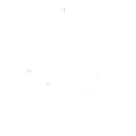 CNC(=O)C(c1ccc(C#N)cc1)c1c(-c2ccccc2)ccc2cncn12